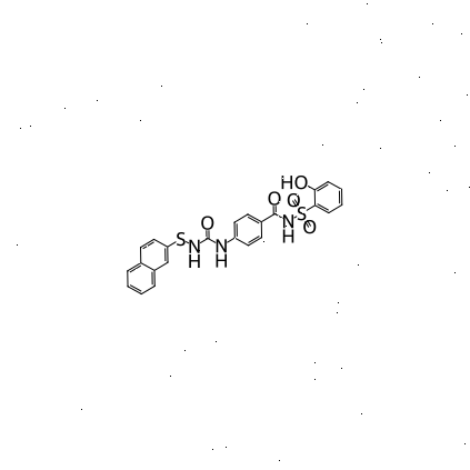 O=C(NSc1ccc2ccccc2c1)Nc1ccc(C(=O)NS(=O)(=O)c2ccccc2O)cc1